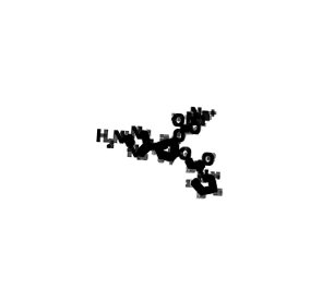 Nc1ncc(-c2ccc(OCC(=O)N3CCCC3)cc2)cn1.O=C([O-])[O-].[Na+].[Na+]